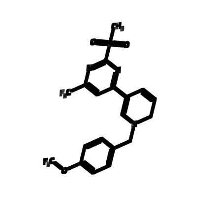 CS(=O)(=O)c1nc(C2=CN(Cc3ccc(OC(F)(F)F)cc3)CC=C2)cc(C(F)(F)F)n1